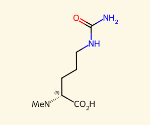 CN[C@H](CCCNC(N)=O)C(=O)O